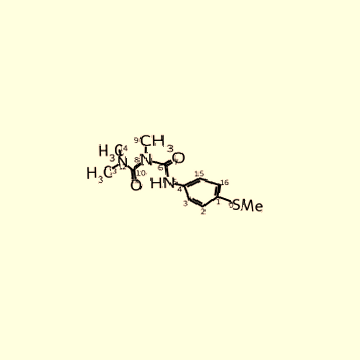 CSc1ccc(NC(=O)N(C)C(=O)N(C)C)cc1